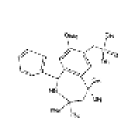 CCCCC1(CCCC)CS(O)(O)c2cc(CP(=O)(O)O)c(OC)cc2C(c2ccccc2)N1